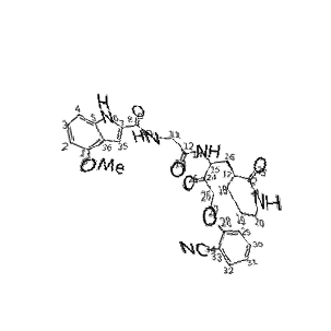 COc1cccc2[nH]c(C(=O)NCC(=O)NC(C[C@@H]3CCCNC3=O)C(=O)COc3ccccc3C#N)cc12